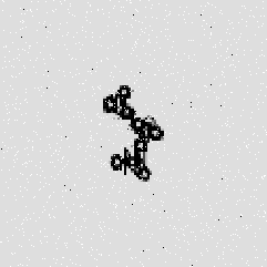 c1ccc(-c2nc(-c3ccccc3)nc(-c3ccc(N4c5ccccc5Oc5cc(-c6ccc7c(c6)Sc6ccccc6N7c6ccccc6)ccc54)cc3)n2)cc1